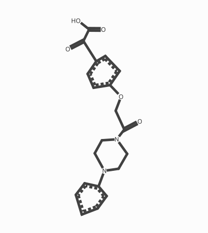 O=C(O)C(=O)c1ccc(OCC(=O)N2CCN(c3ccccc3)CC2)cc1